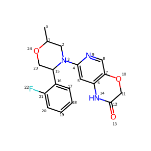 CC1CN(c2cc3c(cn2)OCC(=O)N3)C(c2ccccc2F)CO1